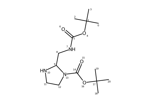 CC(C)(C)OC(=O)NCC1NCCN1C(=O)OC(C)(C)C